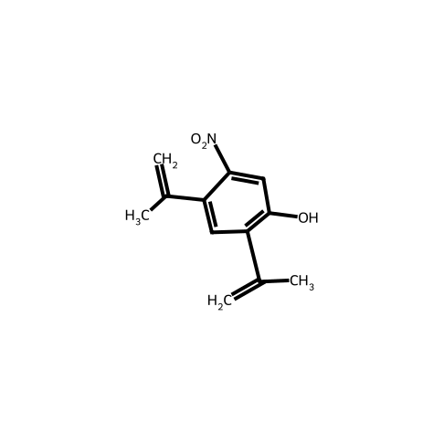 C=C(C)c1cc(C(=C)C)c([N+](=O)[O-])cc1O